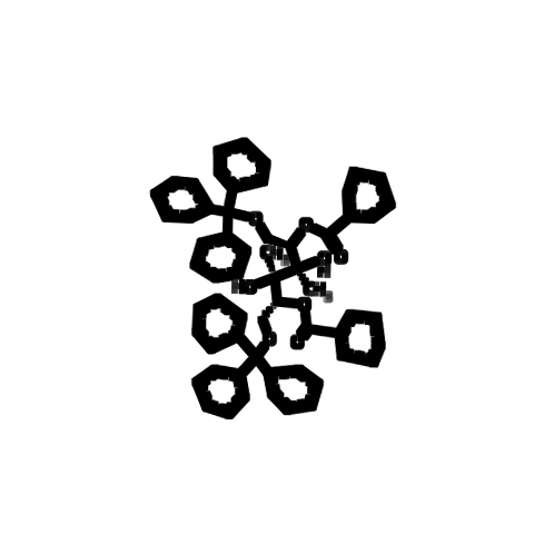 C[C@@](O)([C@@H](COC(c1ccccc1)(c1ccccc1)c1ccccc1)OC(=O)c1ccccc1)[C@](C)(O)[C@@H](COC(c1ccccc1)(c1ccccc1)c1ccccc1)OC(=O)c1ccccc1